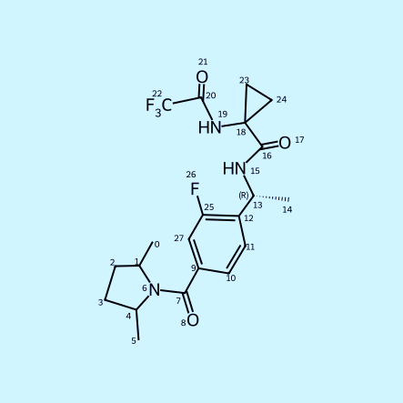 CC1CCC(C)N1C(=O)c1ccc([C@@H](C)NC(=O)C2(NC(=O)C(F)(F)F)CC2)c(F)c1